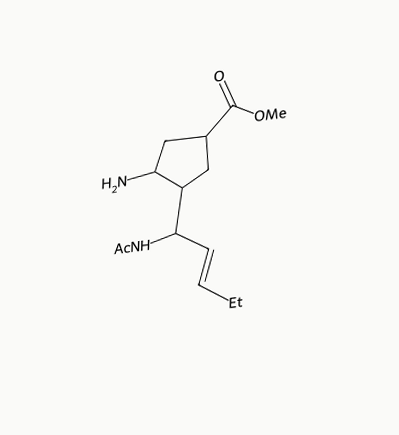 CCC=CC(NC(C)=O)C1CC(C(=O)OC)CC1N